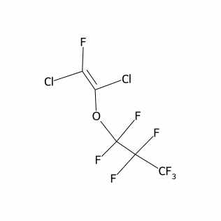 FC(Cl)=C(Cl)OC(F)(F)C(F)(F)C(F)(F)F